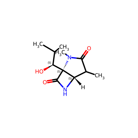 CC(C)[C@H](O)[C@]12C(=O)N[C@H]1C(C)C(=O)N2C